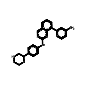 Nc1ccnc(-c2cccc3cnc(Nc4ccc(C5CNCCO5)cc4)nc23)c1